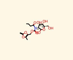 C=C1OC(C)=C(COC(=O)N(C(=O)CCC)[C@H]2C(O)O[C@H](CO)[C@@H](O)[C@@H]2O)O1